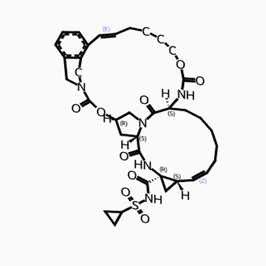 O=C1N[C@H]2CCCCC/C=C\[C@@H]3C[C@@]3(C(=O)NS(=O)(=O)C3CC3)NC(=O)[C@@H]3C[C@H](CN3C2=O)OC(=O)N2Cc3cccc(c3C2)/C=C/CCCCO1